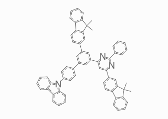 CC1(C)c2ccccc2-c2ccc(-c3cc(-c4ccc(-n5c6ccccc6c6ccccc65)cc4)cc(-c4cc(-c5ccc6c(c5)C(C)(C)c5ccccc5-6)nc(-c5ccccc5)n4)c3)cc21